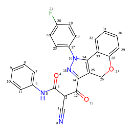 N#CC(C(=O)Nc1ccccc1)C(=O)c1nn(-c2ccc(F)cc2)c2c1COc1ccccc1-2